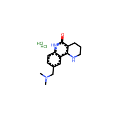 CN(C)Cc1ccc2[nH]c(=O)c3c(c2c1)NCCC3.Cl.Cl